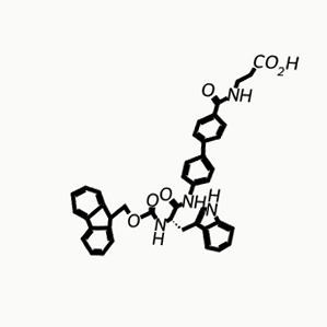 O=C(O)CCNC(=O)c1ccc(-c2ccc(NC(=O)[C@H](Cc3c[nH]c4ccccc34)NC(=O)OCC3c4ccccc4-c4ccccc43)cc2)cc1